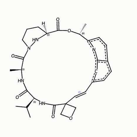 CC(C)[C@@H]1NC(=O)C2(/C=C/c3ccc4ccc(nc4c3)[C@@H](C)OC(=O)[C@@H]3CCCN(N3)C(=O)[C@H](C)NC1=O)COC2